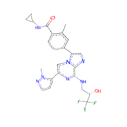 Cc1cc(-c2cnc3c(NC[C@H](O)C(F)(F)F)nc(-c4ccnn4C)cn23)ccc1C(=O)NC1CC1